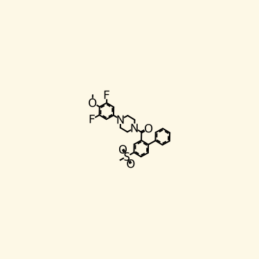 COc1c(F)cc(N2CCN(C(=O)c3cc(S(C)(=O)=O)ccc3-c3ccccc3)CC2)cc1F